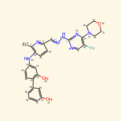 CCc1nc(/C=N/Nc2ncc(F)c(N3CCOCC3)n2)ccc1Nc1ccc(-c2cccc(O)c2)c(O)c1